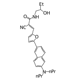 CCCN(CCC)c1ccc2cc(-c3ccc(/C=C(\C#N)C(=O)NCC(O)CC)o3)ccc2c1